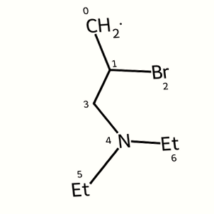 [CH2]C(Br)CN(CC)CC